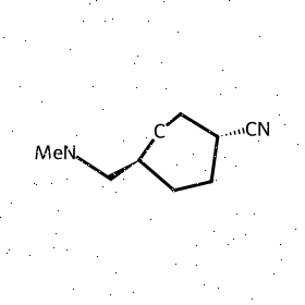 CNC[C@H]1CC[C@H](C#N)CC1